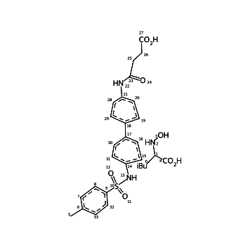 CCC(C)C(NO)C(=O)O.Cc1ccc(S(=O)(=O)Nc2ccc(-c3ccc(NC(=O)CCC(=O)O)cc3)cc2)cc1